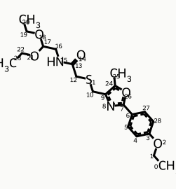 CCOc1ccc(-c2nc(CSCC(=O)NCC(OCC)OCC)c(C)o2)cc1